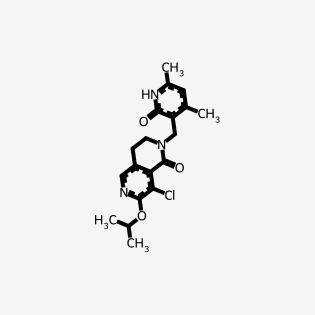 Cc1cc(C)c(CN2CCc3cnc(OC(C)C)c(Cl)c3C2=O)c(=O)[nH]1